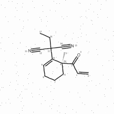 C=CC(=O)[C@@]1(C)CCCC=C1C(C#N)(C#N)CC